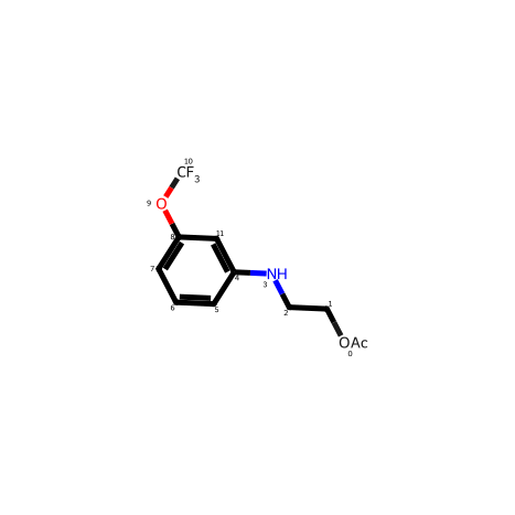 CC(=O)OCCNc1cccc(OC(F)(F)F)c1